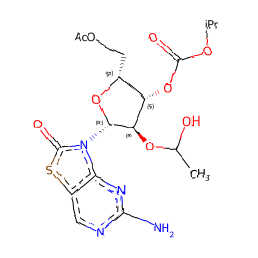 CC(=O)OC[C@H]1O[C@@H](n2c(=O)sc3cnc(N)nc32)[C@H](OC(C)O)[C@H]1OC(=O)OC(C)C